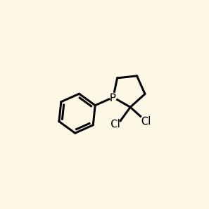 ClC1(Cl)CCCP1c1ccccc1